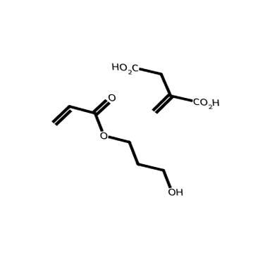 C=C(CC(=O)O)C(=O)O.C=CC(=O)OCCCO